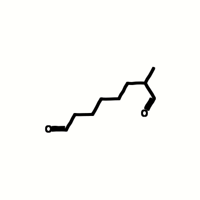 CC(C=O)CCCCCC=O